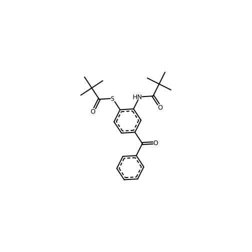 CC(C)(C)C(=O)Nc1cc(C(=O)c2ccccc2)ccc1SC(=O)C(C)(C)C